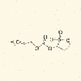 C=CCOC(=O)OC1CCOS1(=O)=O